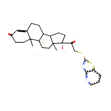 CC12C[C@H](O)[C@@]3(F)C(CCC4=CC(=O)CCC43C)C1CC[C@]2(O)C(=O)CSc1nc2ncccc2s1